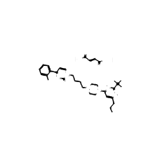 CCCc1cc(N2CCN(CCCCn3ccc(-c4ccccc4C)nc3=O)CC2)nc(C(C)(C)C)n1.O=C(O)C=CC(=O)O